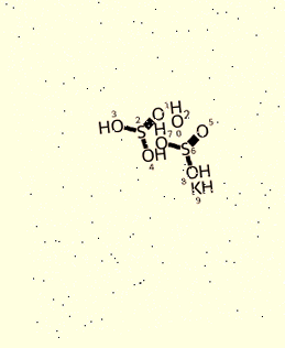 O.O=S(O)O.O=S(O)O.[KH]